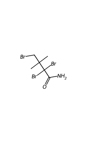 CC(C)(CBr)C(Br)(Br)C(N)=O